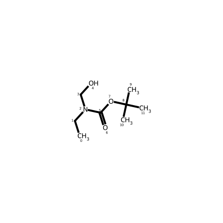 CCN(CO)C(=O)OC(C)(C)C